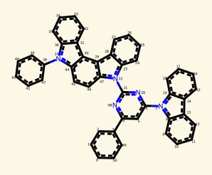 c1ccc(-c2cc(-n3c4ccccc4c4ccccc43)nc(-n3c4ccccc4c4c5c6ccccc6n(-c6ccccc6)c5ccc43)n2)cc1